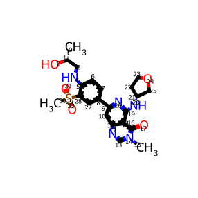 C[C@@H](O)CNc1ccc(-c2cc3ncn(C)c(=O)c3c(N[C@@H]3CCOC3)n2)cc1S(C)(=O)=O